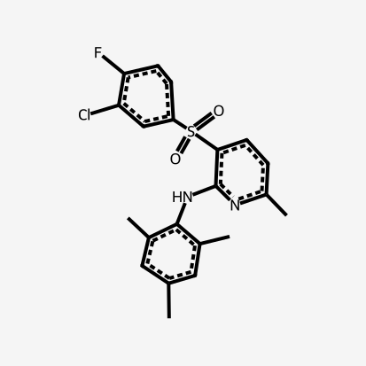 Cc1cc(C)c(Nc2nc(C)ccc2S(=O)(=O)c2ccc(F)c(Cl)c2)c(C)c1